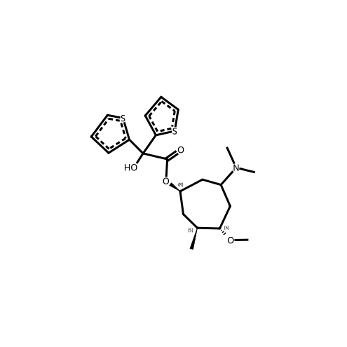 CO[C@H]1CC(N(C)C)C[C@H](OC(=O)C(O)(c2cccs2)c2cccs2)C[C@@H]1C